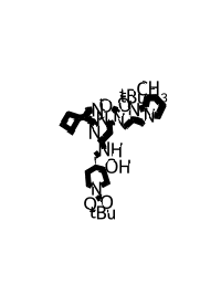 Cc1cccn2cc(CN(C(=O)OC(C)(C)C)c3cc(NC[C@H]4CCN(C(=O)OC(C)(C)C)C[C@@H]4O)nc4c(C5CCC5)cnn34)nc12